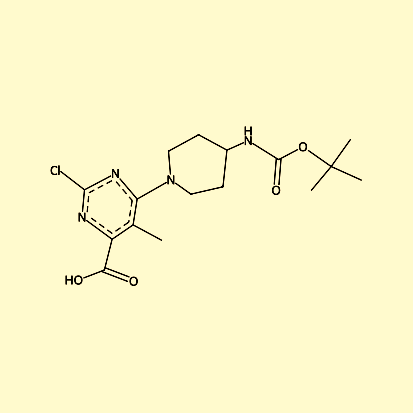 Cc1c(C(=O)O)nc(Cl)nc1N1CCC(NC(=O)OC(C)(C)C)CC1